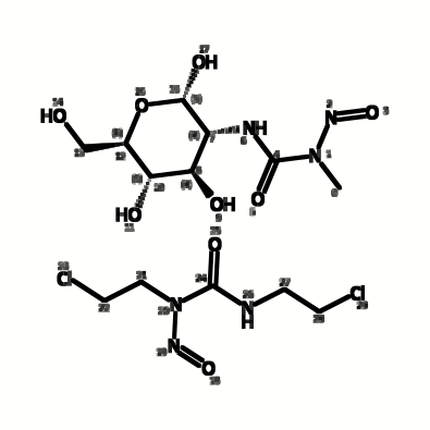 CN(N=O)C(=O)N[C@@H]1[C@@H](O)[C@H](O)[C@@H](CO)O[C@@H]1O.O=NN(CCCl)C(=O)NCCCl